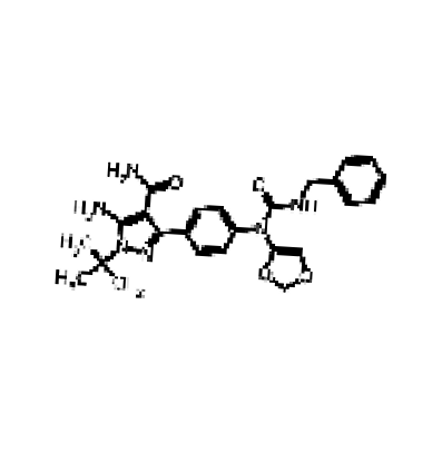 CC(C)(C)n1nc(-c2ccc(N(C(=O)NCc3ccccc3)C3=COCO3)cc2)c(C(N)=O)c1N